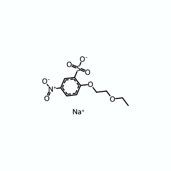 CCOCCOc1ccc([N+](=O)[O-])cc1S(=O)(=O)[O-].[Na+]